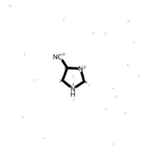 N#CC1CNC[N]1